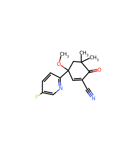 COC1(c2ccc(F)cn2)C=C(C#N)C(=O)C(C)(C)C1